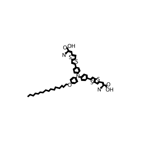 CCCCCCCCCCCCCCCCOc1ccc(N(c2ccc(-c3cc4sc(/C=C(\C#N)C(=O)O)cc4s3)cc2)c2ccc(-c3cc4sc(/C=C(\C#N)C(=O)O)cc4s3)cc2)cc1